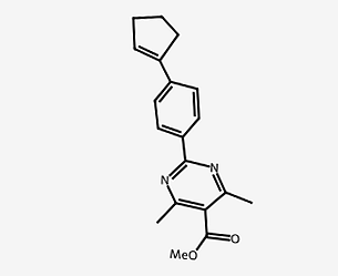 COC(=O)c1c(C)nc(-c2ccc(C3=CCCC3)cc2)nc1C